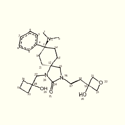 CN(C)[C@]1(c2ccccc2)CC[C@]2(CC1)CN(CCC1(O)COC1)C(=O)N2CC1(O)CCC1